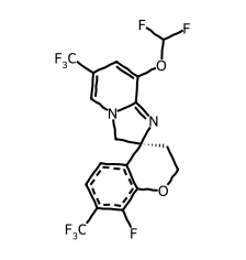 Fc1c(C(F)(F)F)ccc2c1OCC[C@@]21CN2C=C(C(F)(F)F)C=C(OC(F)F)C2=N1